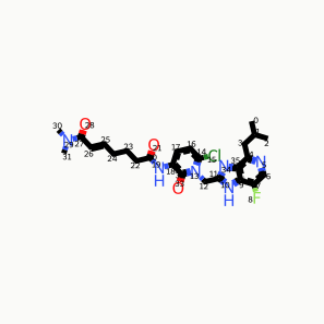 CC(C)Cc1ncc(F)c2[nH]c(Cn3c(Cl)ccc(NC(=O)CCC/C=C/C(=O)N(C)C)c3=O)nc12